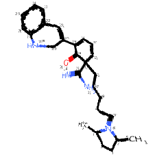 CC1CCC(C)N1CCCCCC1(C(=N)N)C=CC=C(C2=Cc3ccccc3NC2)C1=O